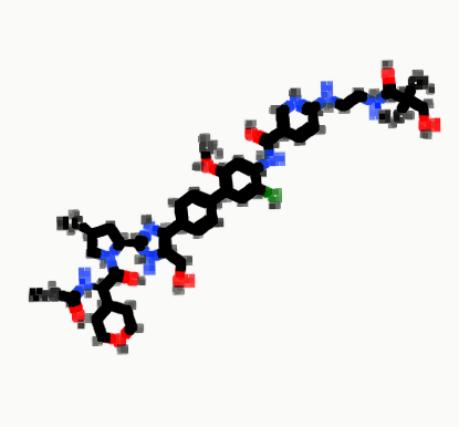 COC(=O)N[C@H](C(=O)N1C[C@@H](C)C[C@H]1c1nc(-c2ccc(-c3cc(Cl)c(NC(=O)c4ccc(NCCNC(=O)C(C)(C)CO)nc4)cc3OC(F)(F)F)cc2)c(CO)[nH]1)C1CCOCC1